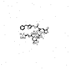 CC1(C)[C@H](/C=C2\CCSC2=O)[C@@H]1C(=O)OCc1coc(Cc2ccccc2)c1.CS/C(C)=N\OC(=O)N(C)SN(C)C(=O)O/N=C(/C)SC